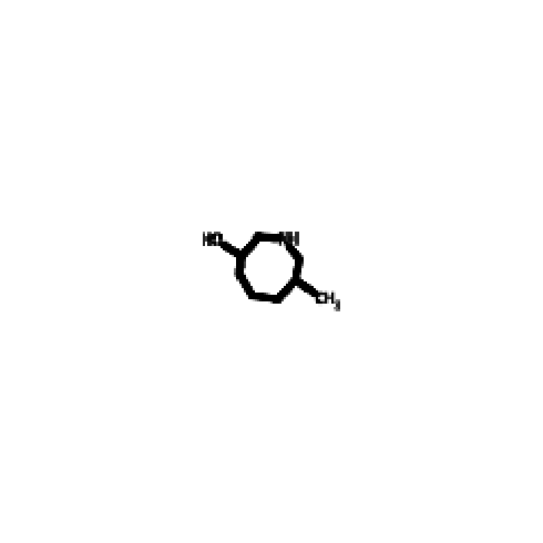 CC1CCCC(O)CNC1